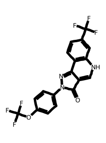 O=c1c2c[nH]c3cc(C(F)(F)F)ccc3c-2nn1-c1ccc(OC(F)(F)F)cc1